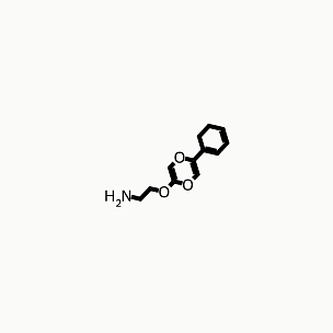 NCCOC1=COC(C2=CC=CCC2)=CO1